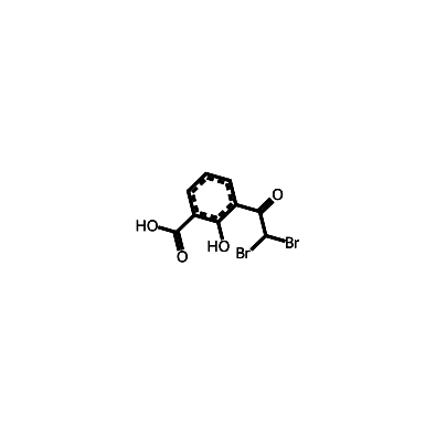 O=C(O)c1cccc(C(=O)C(Br)Br)c1O